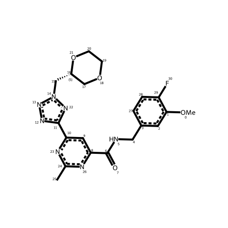 COc1cc(CNC(=O)c2cc(-c3nnn(C[C@H]4COCCO4)n3)nc(C)n2)ccc1F